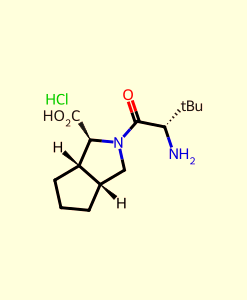 CC(C)(C)[C@H](N)C(=O)N1C[C@@H]2CCC[C@@H]2[C@H]1C(=O)O.Cl